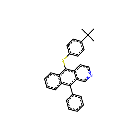 CC(C)(C)c1ccc(Sc2c3ccccc3c(-c3ccccc3)c3cnccc23)cc1